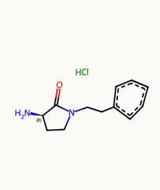 Cl.N[C@@H]1CCN(CCc2ccccc2)C1=O